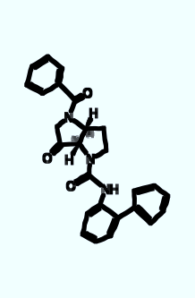 O=C1CN(C(=O)c2ccccc2)[C@@H]2CCN(C(=O)Nc3ccccc3-c3ccccc3)[C@H]12